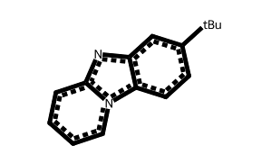 CC(C)(C)c1ccc2c(c1)nc1ccccn12